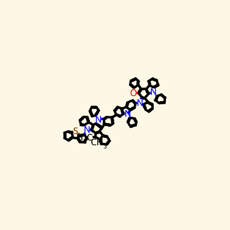 CC1(C)c2ccccc2-c2c1c1c(c3ccccc3n1-c1cccc3c1sc1ccccc13)c1c2c2ccc(-c3ccc4c5ccc(-n6c7ccccc7c7c6c6oc8ccccc8c6c6c8ccccc8n(-c8ccccc8)c67)cc5n(-c5ccccc5)c4c3)cc2n1-c1ccccc1